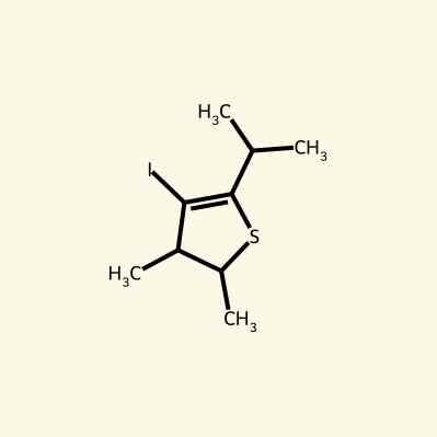 CC(C)C1=C(I)C(C)C(C)S1